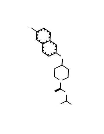 N#Cc1ccc2cc(OC3CCN(C(=O)OC(C(F)(F)F)C(F)(F)F)CC3)ccc2c1